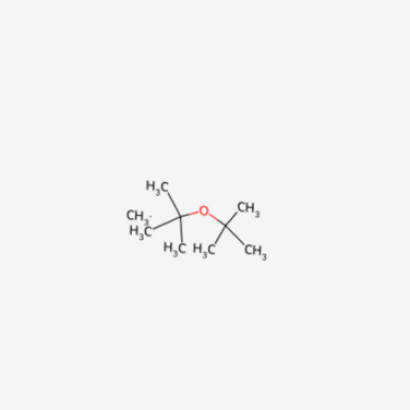 CC(C)(C)OC(C)(C)C.[CH3]